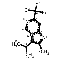 Cc1nc2cc(C(F)(F)Cl)ncn2c1C(C)C